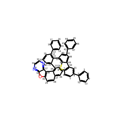 c1ccc(-c2ccc3sc4c(-c5c(-c6ccccc6)cccc5-c5cccc6ccc7oc8nccnc8c7c56)cc(-c5ccccc5)cc4c3c2)cc1